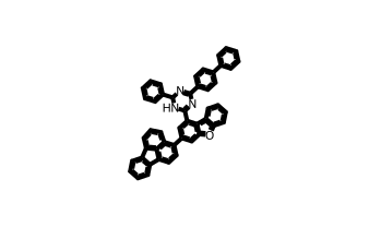 c1ccc(-c2ccc(C3=NC(c4ccccc4)NC(c4cc(-c5ccc6c7c(cccc57)-c5ccccc5-6)cc5oc6ccccc6c45)=N3)cc2)cc1